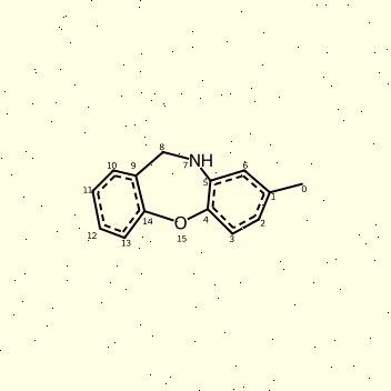 Cc1ccc2c(c1)NCc1ccccc1O2